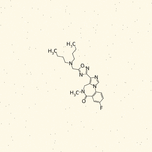 CCCCN(CCCC)Cc1nc(-c2ncn3c2CN(C)C(=O)c2cc(F)ccc2-3)no1